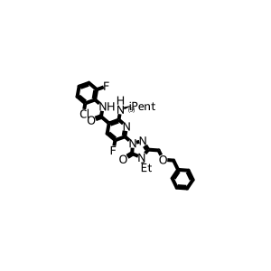 CCC[C@H](C)Nc1nc(-n2nc(COCc3ccccc3)n(CC)c2=O)c(F)cc1C(=O)Nc1c(F)cccc1Cl